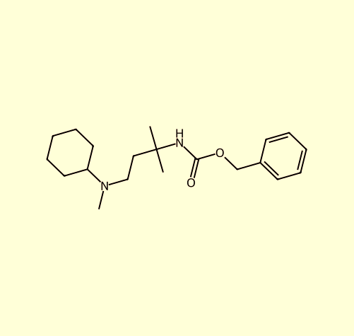 CN(CCC(C)(C)NC(=O)OCc1ccccc1)C1CCCCC1